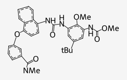 CNC(=O)c1cccc(Oc2ccc(NC(=O)Nc3cc(C(C)(C)C)cc(NC(=O)OC)c3OC)c3ccccc23)c1